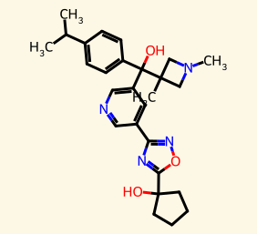 CC(C)c1ccc(C(O)(c2cncc(-c3noc(C4(O)CCCC4)n3)c2)C2(C)CN(C)C2)cc1